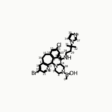 CB(O)N1CCN(C2c3ccc(Cl)cc3CCc3cc(Br)cnc32)[C@@H](C(=O)NCCC(C)(C)n2ccnc2)C1